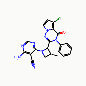 C[C@H]1CN(c2ncnc(N)c2C#N)C1c1nn2ccc(Cl)c2c(=O)n1-c1ccccc1